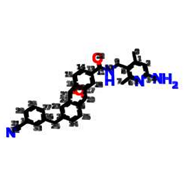 Cc1cc(N)nc(C)c1CNC(=O)c1ccc2c(c1)c1oc2c2cc(Cc3cccc(C#N)c3)ccc21